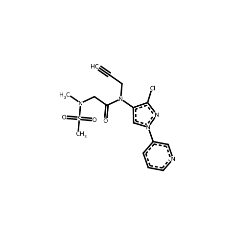 C#CCN(C(=O)CN(C)S(C)(=O)=O)c1cn(-c2cccnc2)nc1Cl